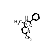 C[C@@H](NC(=O)c1ccccc1)c1ccc(C(F)(F)F)nn1